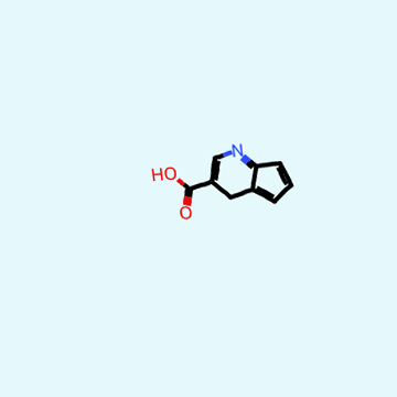 O=C(O)C1=CN=C2C=CC=C2C1